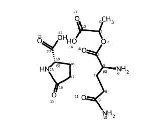 CC(OC(=O)[C@@H](N)CCC(N)=O)C(=O)O.O=C1CC[C@@H](C(=O)O)N1